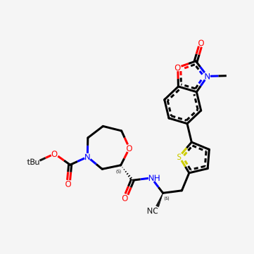 Cn1c(=O)oc2ccc(-c3ccc(C[C@@H](C#N)NC(=O)[C@@H]4CN(C(=O)OC(C)(C)C)CCCO4)s3)cc21